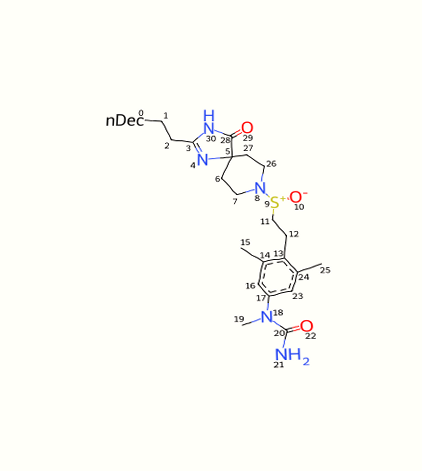 CCCCCCCCCCCCC1=NC2(CCN([S@+]([O-])CCc3c(C)cc(N(C)C(N)=O)cc3C)CC2)C(=O)N1